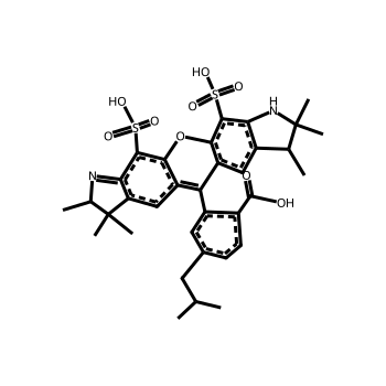 CC(C)Cc1ccc(C(=O)O)c(C2=c3cc4c(c(S(=O)(=O)O)c3Oc3c2cc2c(c3S(=O)(=O)O)NC(C)(C)C2C)=NC(C)C4(C)C)c1